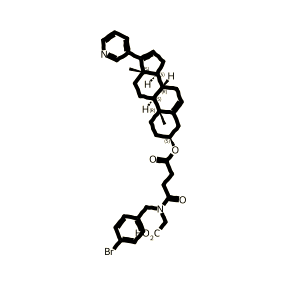 C[C@]12CC[C@H](OC(=O)CCC(=O)N(CC(=O)O)Cc3ccc(Br)cc3)CC1=CC[C@@H]1[C@@H]2CC[C@]2(C)C(c3cccnc3)=CC[C@@H]12